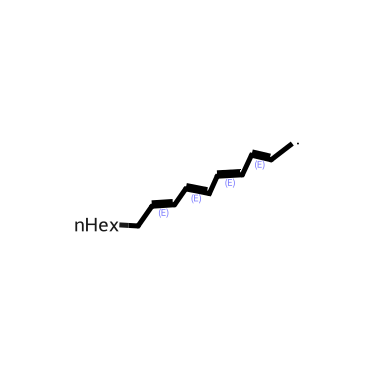 [CH2]/C=C/C=C/C=C/C=C/CCCCCCC